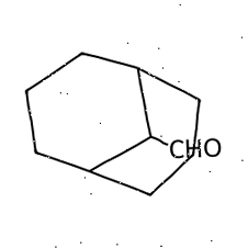 O=CC1C2CCCC1CCC2